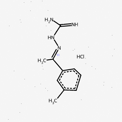 C/C(=N\NC(=N)N)c1cccc(C)c1.Cl